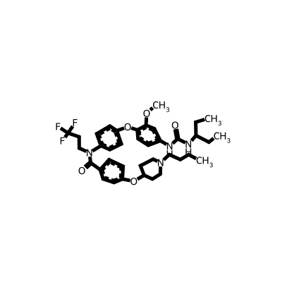 CCCCN1CCC(Oc2ccc(C(=O)N(CCC(F)(F)F)c3ccc(Oc4ccc(NC(=O)NC(CC)CC)cc4OC)cc3)cc2)CC1